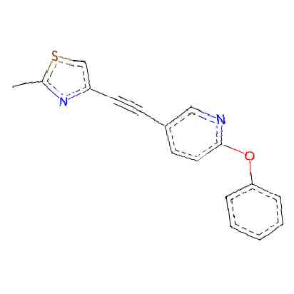 Cc1nc(C#Cc2ccc(Oc3ccccc3)nc2)cs1